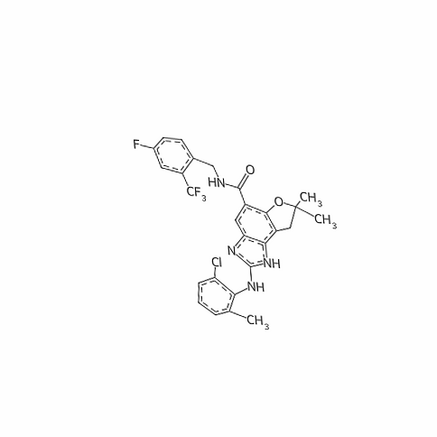 Cc1cccc(Cl)c1Nc1nc2cc(C(=O)NCc3ccc(F)cc3C(F)(F)F)c3c(c2[nH]1)CC(C)(C)O3